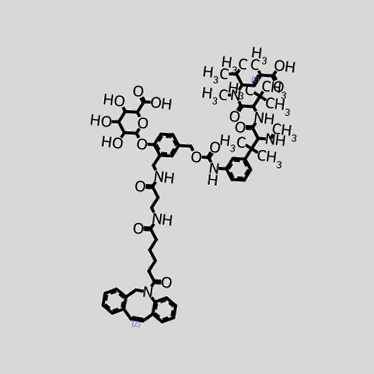 CNC(C(=O)NC(C(=O)N(C)C(/C=C(\C)C(=O)O)C(C)C)C(C)(C)C)C(C)(C)c1cccc(NC(=O)OCc2ccc(OC3OC(C(=O)O)C(O)C(O)C3O)c(CNC(=O)CCNC(=O)CCCCC(=O)N3Cc4ccccc4/C=C\c4ccccc43)c2)c1